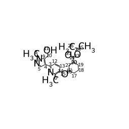 Cc1nc(-c2cnn(C)c2CO)ccc1O[C@H]1CCC[C@H](C(=O)OC(C)C)C1